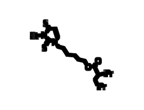 CCn1c(=S)ccn(CCCCCCOC(=O)C(CC(C)C)C(C)C)c1=S